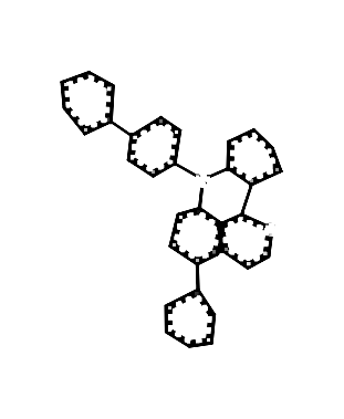 b1ccccc1-c1ccccc1N(c1ccc(-c2ccccc2)cc1)c1ccc(-c2ccccc2)cc1